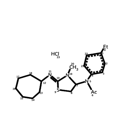 CCc1ccc(N(C(C)=O)C2CSC(=NC3CCCCCC3)N2C)cc1.Cl